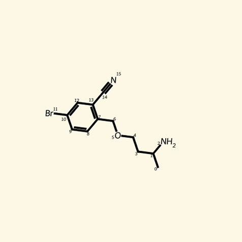 CC(N)CCOCc1ccc(Br)cc1C#N